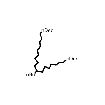 [CH2]CCCC(CCCCCCCCCCCCCCCCC)CCCCCCCCCCCCCCCCCCC